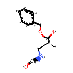 C[C@H](CN=C=O)C(=O)OCc1ccccc1